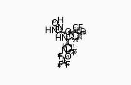 O=C1NCC(C(=O)N[C@H](c2cnc(OC(F)C(F)F)c(F)c2)c2ccc(F)c(C(F)(F)F)n2)N1